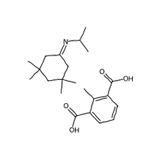 CC(C)N=C1CC(C)(C)CC(C)(C)C1.Cc1c(C(=O)O)cccc1C(=O)O